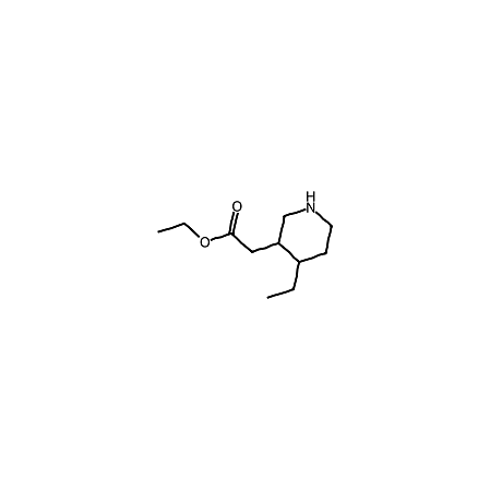 CCOC(=O)CC1CNCCC1CC